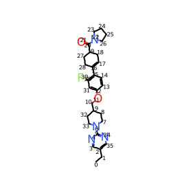 CCc1cnc(N2CCC(COc3ccc(C4=CCC(C(=O)N5CCCC5)CC4)c(F)c3)CC2)nc1